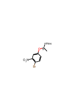 CCCCCC[C@@H](C)Oc1ccc(Br)c([N+](=O)[O-])c1